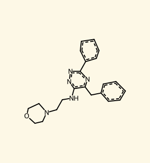 c1ccc(Cc2nc(-c3ccccc3)nnc2NCCN2CCOCC2)cc1